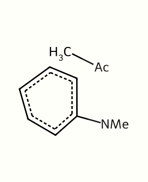 CC(C)=O.CNc1ccccc1